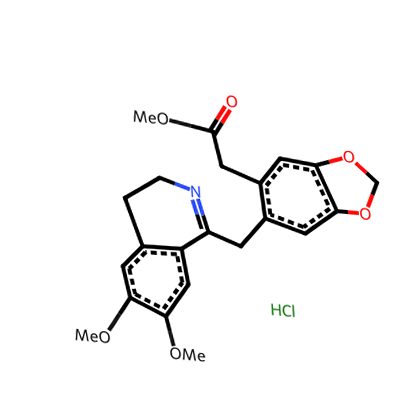 COC(=O)Cc1cc2c(cc1CC1=NCCc3cc(OC)c(OC)cc31)OCO2.Cl